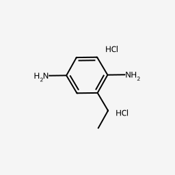 CCc1cc(N)ccc1N.Cl.Cl